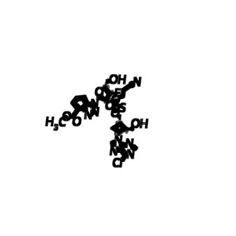 COC(=O)c1cccc2c1nnn2[C@@H]1O[C@H](CO)[C@@H](F)[C@H]1OP(=S)(OCCC#N)OC[C@H]1C[C@@H](n2cnc3c(Cl)ncnc32)[C@@H]1CO